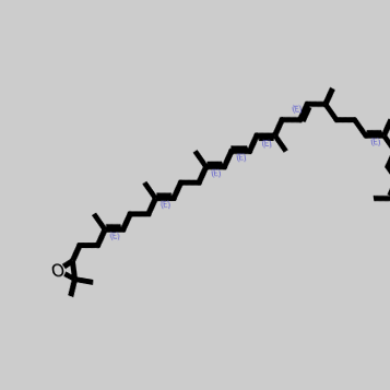 CC(C)=CCC/C(C)=C/CCC(C)/C=C/C/C(C)=C/C=C/C=C(\C)CC/C=C(\C)CC/C=C(\C)CCC1OC1(C)C